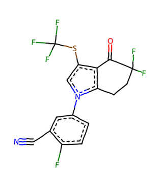 N#Cc1cc(-n2cc(SC(F)(F)F)c3c2CCC(F)(F)C3=O)ccc1F